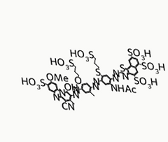 COc1cc2c(cc1S(=O)(=O)O)nc1c(C#N)c(C)c(N=Nc3cc(C)c(N=Nc4cc(NC(C)=O)c(N=Nc5nc6c(S(=O)(=O)O)cc7c(S(=O)(=O)O)cc(S(=O)(=O)O)cc7c6s5)cc4SCCCS(=O)(=O)O)cc3OCCCS(=O)(=O)O)c(O)n12